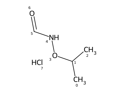 CC(C)ONC=O.Cl